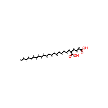 CCCCCCCCCCCCCCCCCCCCC(CCCC(=O)O)C(=O)O